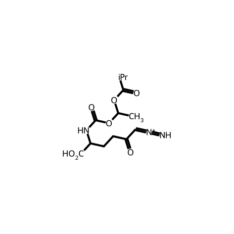 CC(OC(=O)NC(CCC(=O)C=[N+]=N)C(=O)O)OC(=O)C(C)C